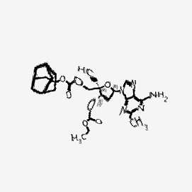 C#C[C@]1(COC(=O)OC23CC4CC(CC(C4)C2)C3)O[C@@H](n2cnc3c(N)nc(C)nc32)C[C@@H]1OC(=O)OCC